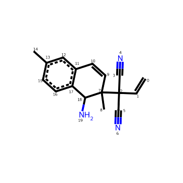 C=CC(C#N)(C#N)C1(C)C=Cc2cc(C)ccc2C1N